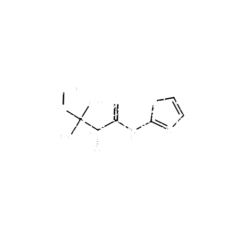 CCCCC(NC(=O)O)([C@@H](O)C(=O)Nc1nccs1)C(C)(C)C